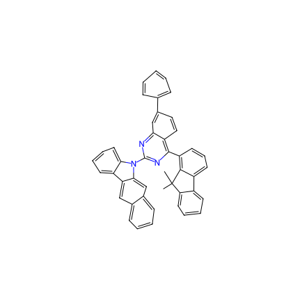 CC1(C)c2ccccc2-c2cccc(-c3nc(-n4c5ccccc5c5cc6ccccc6cc54)nc4cc(-c5ccccc5)ccc34)c21